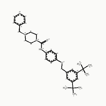 CC(C)(C)c1cc(COc2ccc(NC(=O)N3CCN(Cc4ccncc4)CC3)cc2)cc(C(C)(C)C)c1